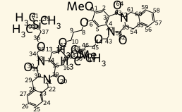 COc1cc2c(cc1OCCCOc1cc3c(cc1OC)C(=O)N1Cc4ccccc4CC1C(=O)N3COCC[Si](C)(C)C)N(COCC[Si](C)(C)C)C(=O)C1Cc3ccccc3CN1C2=O